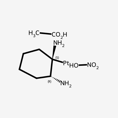 CC(=O)O.N[C@@H]1CCCC[C@]1(N)[Pt].O=[N+]([O-])O